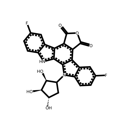 O=C1OC(=O)c2c1c1c3cc(F)ccc3[nH]c1c1c2c2cc(F)ccc2n1C1C[C@H](O)[C@@H](O)[C@H]1O